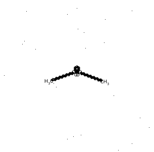 CCCCCCCCCCCCCOC(=O)C1(C(=O)OCCCCCCCCCCCCC)CCCCC1